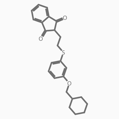 O=C1c2ccccc2C(=O)C1CCSc1cccc(OCC2CCCCC2)c1